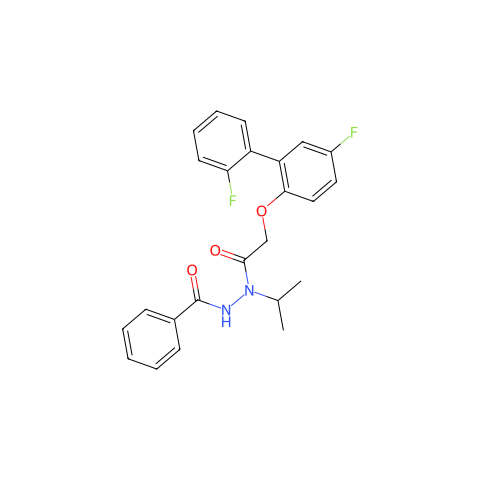 CC(C)N(NC(=O)c1ccccc1)C(=O)COc1ccc(F)cc1-c1ccccc1F